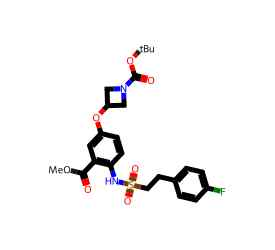 COC(=O)c1cc(OC2CN(C(=O)OC(C)(C)C)C2)ccc1NS(=O)(=O)CCc1ccc(F)cc1